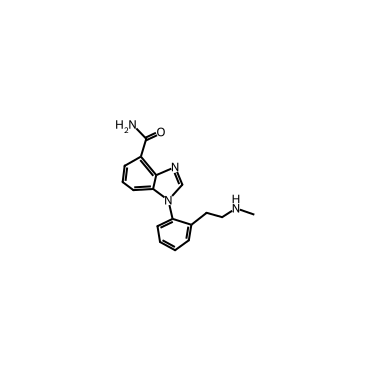 CNCCc1ccccc1-n1cnc2c(C(N)=O)cccc21